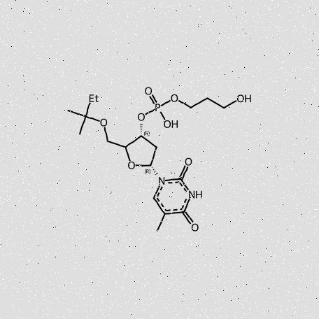 CCC(C)(C)OCC1O[C@@H](n2cc(C)c(=O)[nH]c2=O)C[C@H]1OP(=O)(O)OCCCO